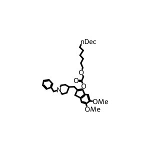 CCCCCCCCCCCCCCCCOCC(=O)OC1=C(CC2CCN(Cc3ccccc3)CC2)Cc2cc(OC)c(OC)cc21